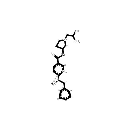 C[C](C)CN1CCC(NC(=O)c2ccc(N(C)Cc3ccccc3)nc2)C1